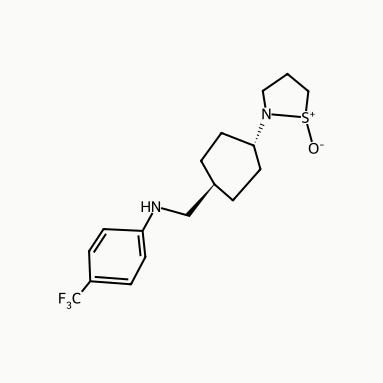 [O-][S+]1CCCN1[C@H]1CC[C@H](CNc2ccc(C(F)(F)F)cc2)CC1